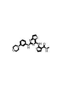 CNC(=O)c1ccsc1Nc1nc(Nc2cccc(N3CCOCC3)c2)nc2ccsc12